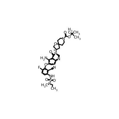 CCN(C)S(=O)(=O)Nc1ccc(F)c(Oc2ccc3ncn([C@H]4COC5(CCN(C(=O)OC(C)(C)C)CC5)C4)c(=O)c3c2N)c1C#N